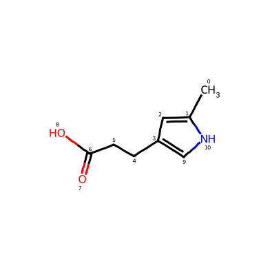 Cc1cc(CCC(=O)O)c[nH]1